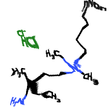 CCCCCCCCCCCC[N+](C)(C)CCC(C)(C)N.Cl.[Cl-]